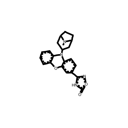 CN1C2CCC1CC(N1c3ccccc3Oc3cc(-c4noc(=O)[nH]4)ccc31)C2